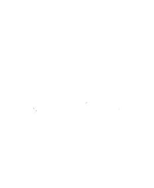 COC(=O)[C@@]1(c2cccc(F)c2C)CCC(=O)/C1=C\N(C)C